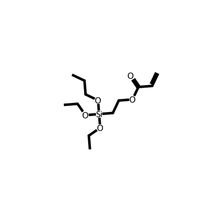 C=CC(=O)OCC[Si](OCC)(OCC)OCCC